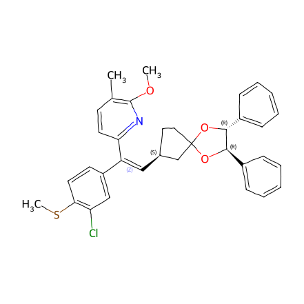 COc1nc(/C(=C\[C@H]2CCC3(C2)O[C@H](c2ccccc2)[C@@H](c2ccccc2)O3)c2ccc(SC)c(Cl)c2)ccc1C